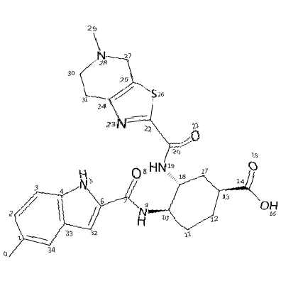 Cc1ccc2[nH]c(C(=O)N[C@@H]3CC[C@H](C(=O)O)C[C@H]3NC(=O)c3nc4c(s3)CN(C)CC4)cc2c1